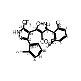 CCOC(=O)c1c(-c2c(F)cccc2Cl)noc1-c1c(-c2ccccc2F)n[nH]c1C(F)(F)F